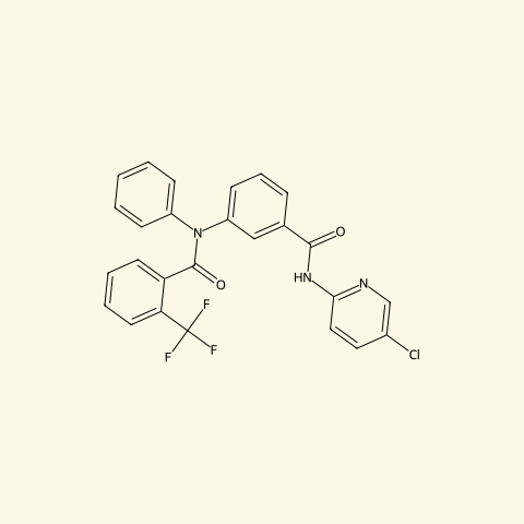 O=C(Nc1ccc(Cl)cn1)c1cccc(N(C(=O)c2ccccc2C(F)(F)F)c2ccccc2)c1